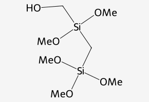 CO[Si](CO)(C[Si](OC)(OC)OC)OC